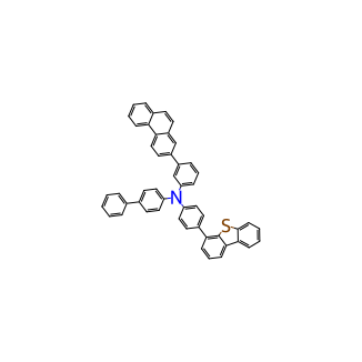 c1ccc(-c2ccc(N(c3ccc(-c4cccc5c4sc4ccccc45)cc3)c3cccc(-c4ccc5c(ccc6ccccc65)c4)c3)cc2)cc1